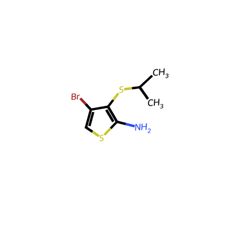 CC(C)Sc1c(Br)csc1N